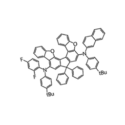 CC(C)(C)c1ccc(N(c2ccc3ccccc3c2)c2cc3c(c4c2oc2ccccc24)-c2c(cc(N(c4ccc(C(C)(C)C)cc4)c4ccc(F)cc4F)c4c2oc2ccccc24)C3(c2ccccc2)c2ccccc2)cc1